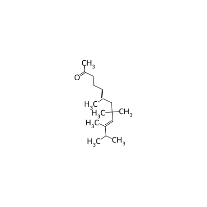 CC(=O)CC/C=C(\C)CC(C)(C)/C=C(\C)C(C)C